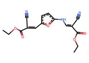 CCOC(=O)/C(C#N)=C/Nc1ccc(/C=C(\C#N)C(=O)OCC)o1